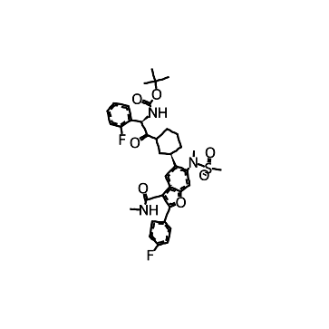 CNC(=O)c1c(-c2ccc(F)cc2)oc2cc(N(C)S(C)(=O)=O)c([C@@H]3CCCC(C(=O)[C@H](NC(=O)OC(C)(C)C)c4ccccc4F)C3)cc12